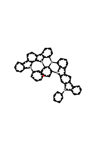 c1ccc(-n2c3ccccc3c3cc4c5cccc6c5n(c4cc32)-c2cccc3c2B6c2cccc4c5ccc6c7ccccc7n(-c7ccccc7)c6c5n-3c24)cc1